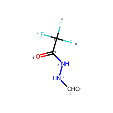 O=[C]NNC(=O)C(F)(F)F